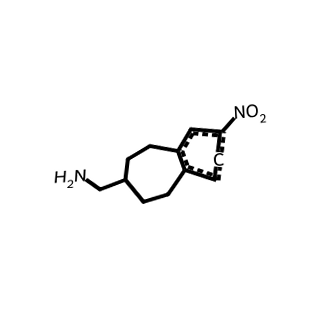 NCC1CCc2ccc([N+](=O)[O-])cc2CC1